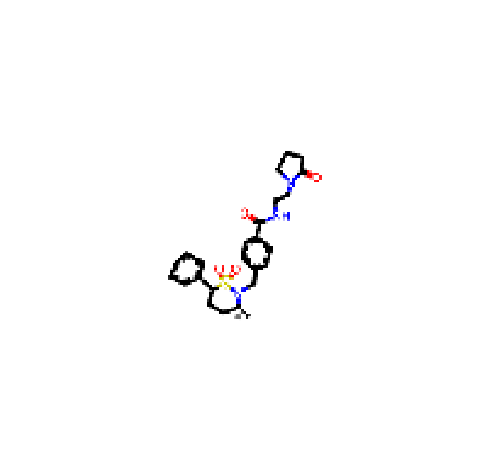 C[C@H]1CCC(c2ccccc2)S(=O)(=O)N1Cc1ccc(C(=O)NCCN2CCCC2=O)cc1